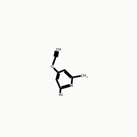 C#COc1cc(C)nc(C(C)=O)c1